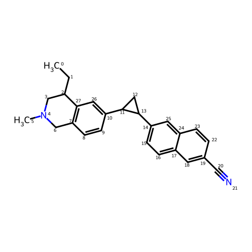 CCC1CN(C)Cc2ccc(C3CC3c3ccc4cc(C#N)ccc4c3)cc21